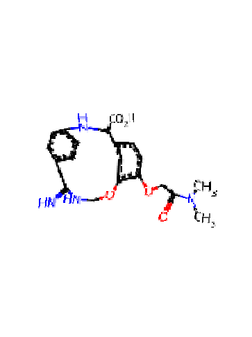 CN(C)C(=O)COc1ccc2cc1OCNC(=N)c1ccc(cc1)NC2C(=O)O